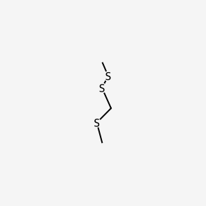 CSCSSC